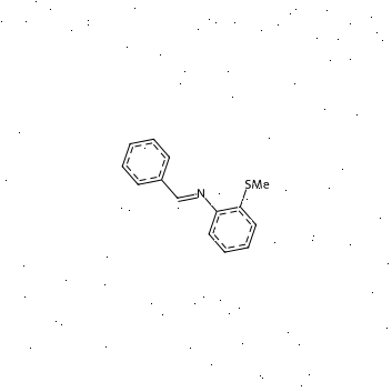 CSc1ccccc1/N=C/c1ccccc1